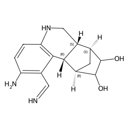 N=Cc1c(N)ccc2c1[C@@H]1[C@H](CN2)[C@@H]2C[C@H]1C(O)C2O